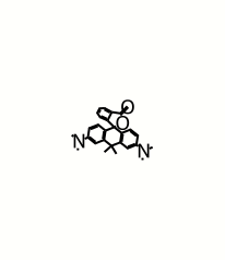 CN(C)c1ccc2c(c1)C(C)(C)c1cc(N(C)C)ccc1C21OC(=O)c2ccccc21